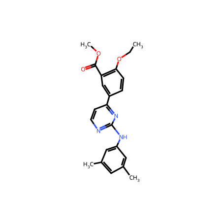 CCOc1ccc(-c2ccnc(Nc3cc(C)cc(C)c3)n2)cc1C(=O)OC